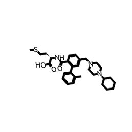 CSCC[C@H](NC(=O)c1ccc(CN2CCN(C3CCCCC3)CC2)cc1-c1ccccc1C)C(=O)O